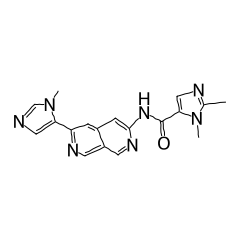 Cc1ncc(C(=O)Nc2cc3cc(-c4cncn4C)ncc3cn2)n1C